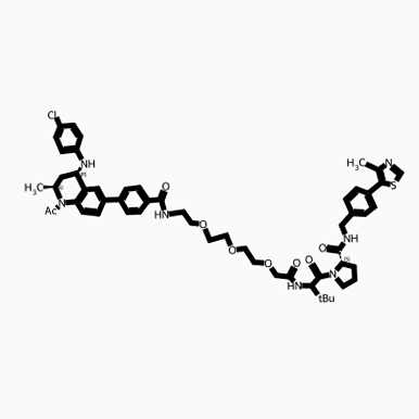 CC(=O)N1c2ccc(-c3ccc(C(=O)NCCOCCOCCOCC(=O)NC(C(=O)N4CCC[C@H]4C(=O)NCc4ccc(-c5scnc5C)cc4)C(C)(C)C)cc3)cc2[C@H](Nc2ccc(Cl)cc2)C[C@@H]1C